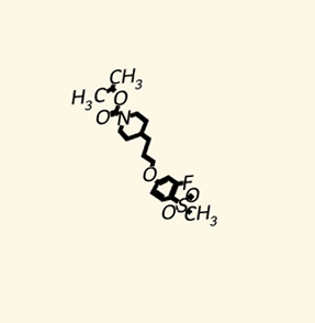 CC(C)OC(=O)N1CCC(CCCOc2ccc(S(C)(=O)=O)c(F)c2)CC1